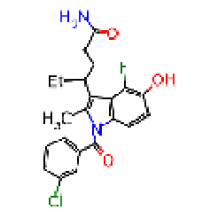 CC[C@@H](CCC(N)=O)c1c(C)n(C(=O)c2cccc(Cl)c2)c2ccc(O)c(F)c12